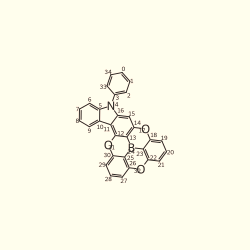 c1ccc(-n2c3ccccc3c3c4c5c(cc32)Oc2cccc3c2B5c2c(cccc2O4)O3)cc1